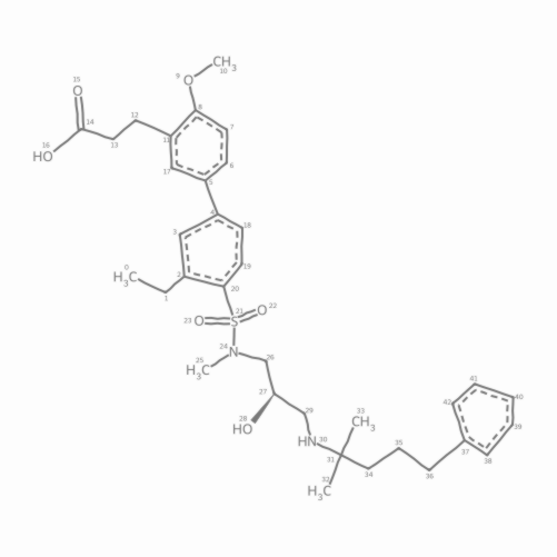 CCc1cc(-c2ccc(OC)c(CCC(=O)O)c2)ccc1S(=O)(=O)N(C)C[C@H](O)CNC(C)(C)CCCc1ccccc1